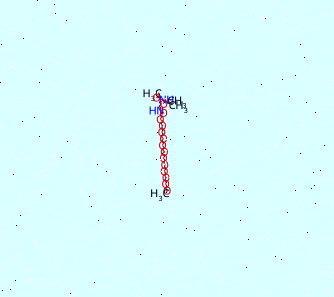 CCC(=O)[C@@H](CCCCNC(=O)CCOCCOCCOCCOCCOCCOCCOCCOCCOCCOCCOCCOC)NC(=O)CCC(C)C